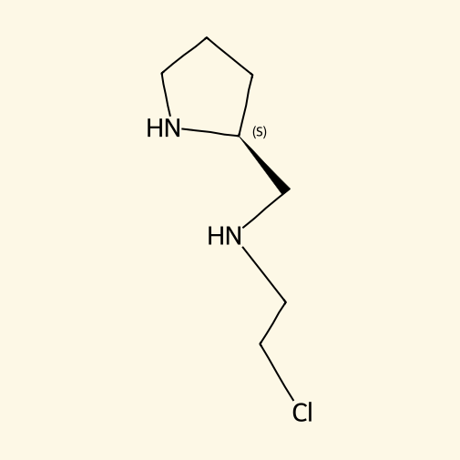 ClCCNC[C@@H]1CCCN1